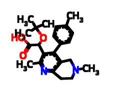 Cc1ccc(-c2c3c(nc(C)c2C(OC(C)(C)C)C(=O)O)CCN(C)C3)cc1